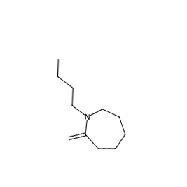 C=C1CCCCCN1CCCC